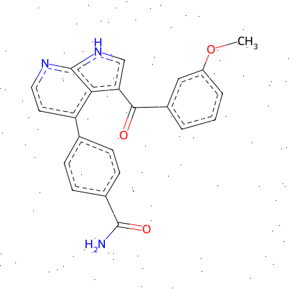 COc1cccc(C(=O)c2c[nH]c3nccc(-c4ccc(C(N)=O)cc4)c23)c1